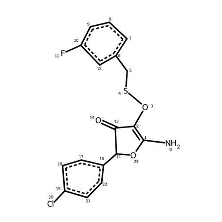 NC1=C(OSCc2cccc(F)c2)C(=O)C(c2ccc(Cl)cc2)O1